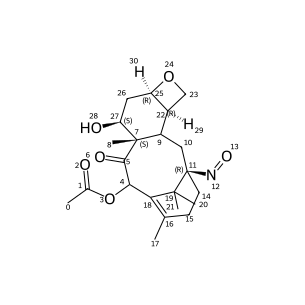 CC(=O)OC1C(=O)[C@@]2(C)C(C[C@]3(N=O)CCC(C)=C1C3(C)C)[C@@H]1CO[C@@H]1C[C@@H]2O